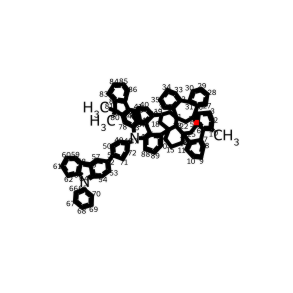 Cc1ccccc1-c1ccccc1C12CCCC34CC(CC5(CC(CC1)c1ccccc1-c1ccccc15)C23)c1ccccc1-c1c(N(c2ccc(-c3ccc5c(c3)c3ccccc3n5-c3ccccc3)cc2)c2ccc3c(c2)C(C)(C)c2ccccc2-3)cccc14